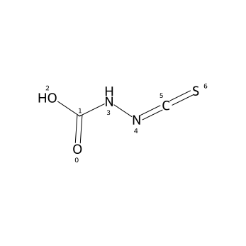 O=C(O)NN=C=S